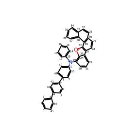 c1ccc(-c2ccc(-c3ccc(N(c4ccccc4)c4cccc5c4oc4c5ccc5ccc6ccccc6c54)cc3)cc2)cc1